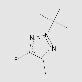 Cc1nn(C(C)(C)C)nc1F